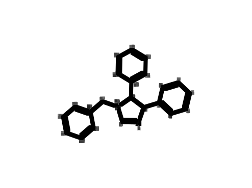 C1=NC(c2ccccc2)C(c2ccccc2)N1Cc1ccccc1